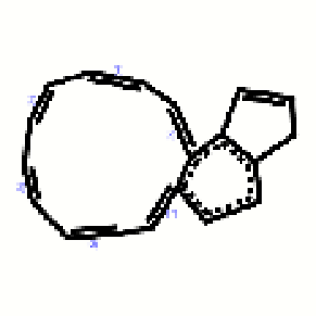 [CH]1C=Cc2c1ccc1/c2=C\C=C/C=C\C=C/C=C\C=1